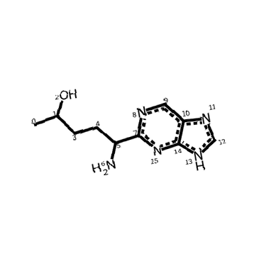 CC(O)CCC(N)c1ncc2nc[nH]c2n1